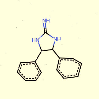 N=C1NC(c2ccccc2)C(c2ccccc2)N1